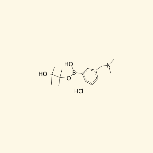 CN(C)Cc1cccc(B(O)OC(C)(C)C(C)(C)O)c1.Cl